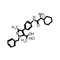 Cc1nn(Cc2ccccc2)c(C(C)O)c1-c1ccc(NC(=O)[C@@H](N)C2CCCCC2)cc1.Cl